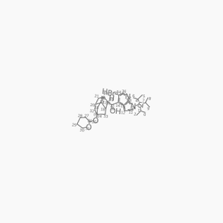 CC(C)[Si](C(C)C)(C(C)C)n1ccc2c(C(O)[C@H]3C4CC5C[C@@H]3C[C@@](OC3CCCCO3)(C5)C4)c(Br)cnc21